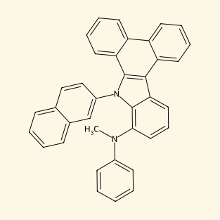 CN(c1ccccc1)c1cccc2c3c4ccccc4c4ccccc4c3n(-c3ccc4ccccc4c3)c12